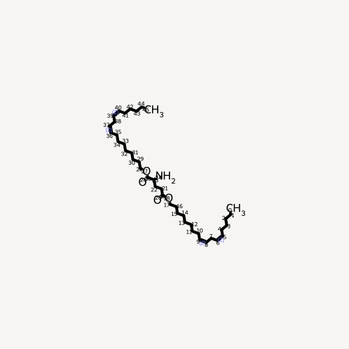 CCCCC/C=C\C/C=C\CCCCCCCCOC(=O)CCC(N)C(=O)OCCCCCCCC/C=C\C/C=C\CCCCC